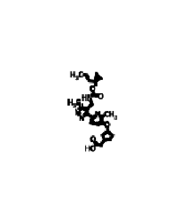 CCCC1(COC(=O)NCc2c(-c3ccc(OC4CCC(CC(=O)O)C4)c(C)n3)nnn2C)CC1